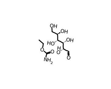 CCOC(N)=O.O=C[C@H](O)[C@@H](O)[C@H](O)[C@H](O)CO